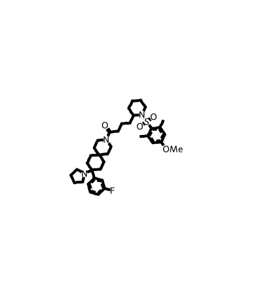 COc1cc(C)c(S(=O)(=O)N2CCCCC2CCCC(=O)N2CCC3(CC2)CCC(c2cccc(F)c2)(N2CCCC2)CC3)c(C)c1